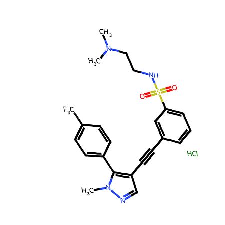 CN(C)CCNS(=O)(=O)c1cccc(C#Cc2cnn(C)c2-c2ccc(C(F)(F)F)cc2)c1.Cl